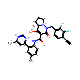 C#Cc1ccc(CN2C(=O)C(C(=O)Nc3ccc(C(F)(F)F)cc3-c3cc(C(F)(F)F)ncn3)=C(O)[C@@]3(C)CCCN23)c(F)c1F